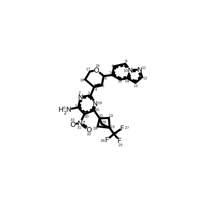 Nc1nc(C2=CC(c3ccn4nccc4c3)OCC2)nc(C23CC(C(F)(F)F)(C2)C3)c1[N+](=O)[O-]